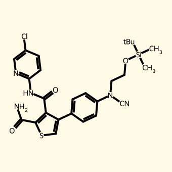 CC(C)(C)[Si](C)(C)OCCN(C#N)c1ccc(-c2csc(C(N)=O)c2C(=O)Nc2ccc(Cl)cn2)cc1